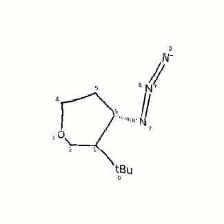 CC(C)(C)C1COCC[C@@H]1N=[N+]=[N-]